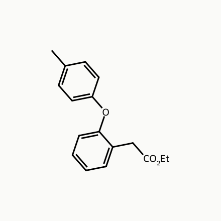 CCOC(=O)Cc1ccccc1Oc1ccc(C)cc1